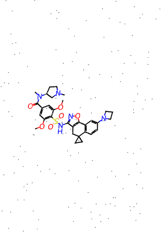 COc1cc(C(=O)N(C)[C@H]2CCN(C)C2)cc(OC)c1S(=O)(=O)Nc1noc2c1CC1(CC1)c1ccc(N3CCC3)cc1-2